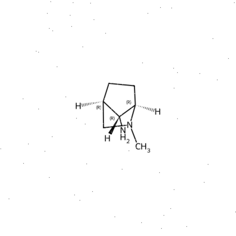 CN1C[C@H]2CC[C@@H]1[C@@H]2N